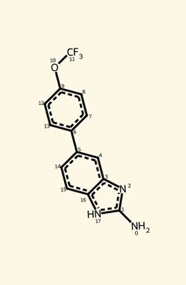 Nc1nc2cc(-c3ccc(OC(F)(F)F)cc3)ccc2[nH]1